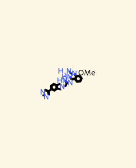 COc1cccc2/c(=N/C(=N)CN3Cc4ccc(-c5cncnc5)cc4C3)[nH]c(N)nc12